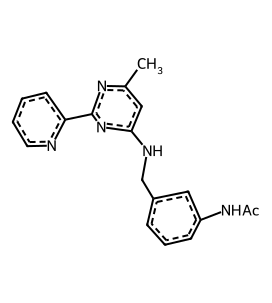 CC(=O)Nc1cccc(CNc2cc(C)nc(-c3ccccn3)n2)c1